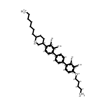 CCCCCCCC1CCC(c2ccc(-c3ccc(-c4ccc(OCCCCC)c(F)c4F)cc3)c(F)c2F)CO1